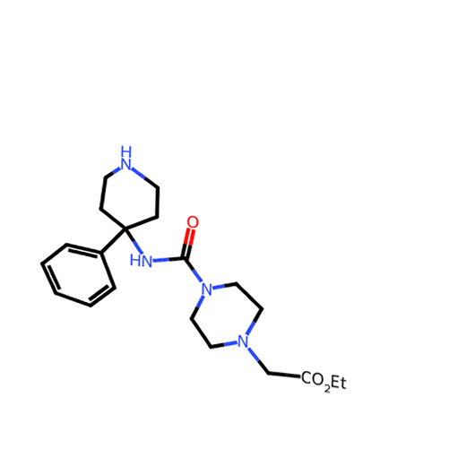 CCOC(=O)CN1CCN(C(=O)NC2(c3ccccc3)CCNCC2)CC1